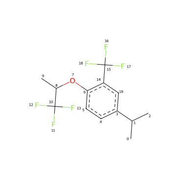 CC(C)c1ccc(OC(C)C(F)(F)F)c(C(F)(F)F)c1